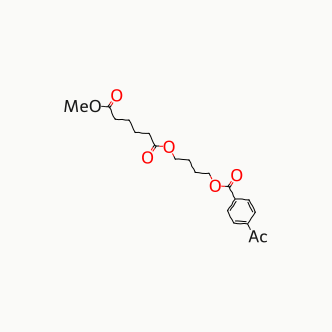 COC(=O)CCCCC(=O)OCCCCOC(=O)c1ccc(C(C)=O)cc1